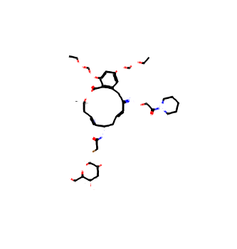 CCOCOc1cc2c(c(OCOCC)c1)C(=O)O[C@H](C)C/C=C/[C@@H](NC(=O)CS[C@H]1OC(CO)[C@H](O)[C@@H](O)C1O)C/C=C/C(=NOCC(=O)N1CCCCC1)C2